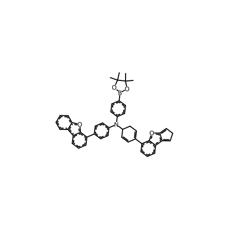 CC1(C)OB(c2ccc(N(c3ccc(-c4cccc5c4oc4ccccc45)cc3)C3C=CC(c4cccc5c6c(oc45)=CCC=6)=CC3)cc2)OC1(C)C